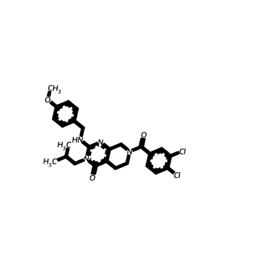 COc1ccc(CNc2nc3c(c(=O)n2CC(C)C)CCN(C(=O)c2ccc(Cl)c(Cl)c2)C3)cc1